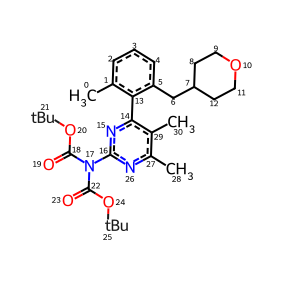 Cc1cccc(CC2CCOCC2)c1-c1nc(N(C(=O)OC(C)(C)C)C(=O)OC(C)(C)C)nc(C)c1C